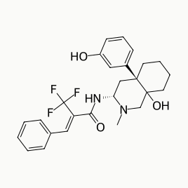 CN1CC2(O)CCCC[C@@]2(c2cccc(O)c2)C[C@H]1NC(=O)C(=Cc1ccccc1)C(F)(F)F